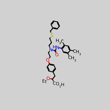 CCOC(Cc1ccc(OCCN(CCCSCc2ccccc2)C(=O)Nc2cc(C)c(C)cc2C)cc1)C(=O)O